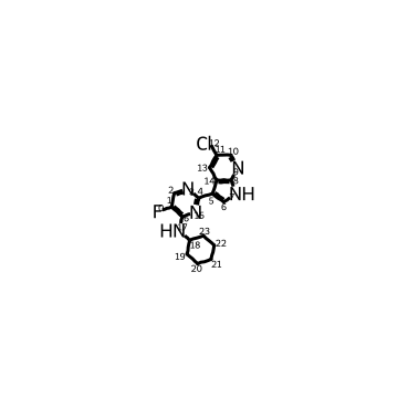 Fc1cnc(-c2c[nH]c3ncc(Cl)cc23)nc1NC1CCCCC1